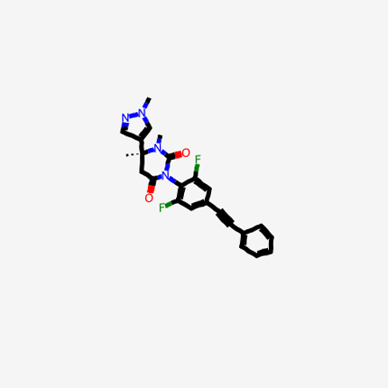 CN1C(=O)N(c2c(F)cc(C#Cc3ccccc3)cc2F)C(=O)C[C@@]1(C)c1cnn(C)c1